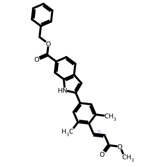 COC(=O)/C=C/c1c(C)cc(-c2cc3ccc(C(=O)OCc4ccccc4)cc3[nH]2)cc1C